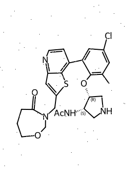 CC(=O)N[C@H]1CNC[C@H]1Oc1c(C)cc(Cl)cc1-c1ccnc2cc(CN3COCCCC3=O)sc12